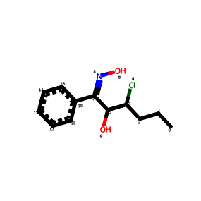 CCCC(Cl)C(O)C(=NO)c1ccccc1